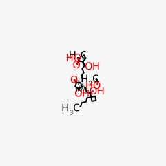 C=CO.CCCCCC1(C(O)CC[C@H]2[C@H](O)CC(=O)[C@@H]2CCCCC(O)=C(CC)C(=O)O)CCC1